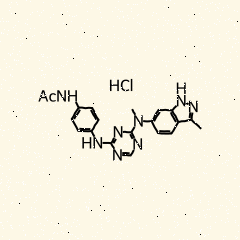 CC(=O)Nc1ccc(Nc2ncnc(N(C)c3ccc4c(C)n[nH]c4c3)n2)cc1.Cl